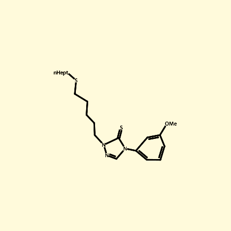 CCCCCCCSCCCCCn1ncn(-c2cccc(OC)c2)c1=S